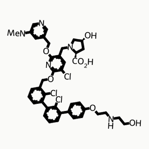 CNc1cncc(COc2nc(OCc3cccc(-c4cccc(-c5ccc(OCCNCCO)cc5)c4Cl)c3Cl)c(Cl)cc2CN2C[C@@H](O)C[C@H]2C(=O)O)c1